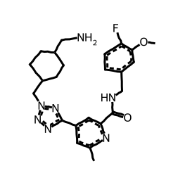 COc1cc(CNC(=O)c2cc(-c3nnn(CC4CCC(CN)CC4)n3)cc(C)n2)ccc1F